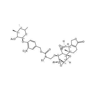 CCN(CO[C@H]1C2[C@H]3O[C@H]3[C@H]3C4=C(CC[C@]3(C)[C@@]23O[C@H]3[C@@H]2O[C@]12C(C)C)C(=O)OC4)C(=O)OCc1ccc(O[C@@H]2OC(C)[C@@H](C)[C@H](C)C2OC(C)=O)c([N+](=O)[O-])c1